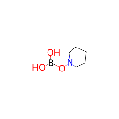 OB(O)ON1CCCCC1